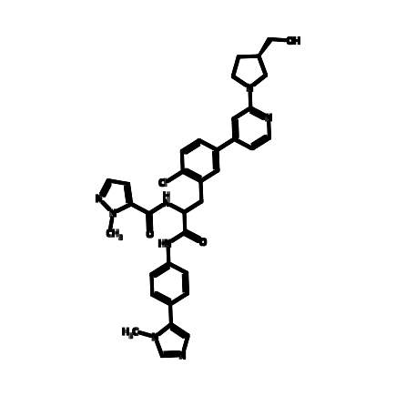 Cn1cncc1-c1ccc(NC(=O)C(Cc2cc(-c3ccnc(N4CC[C@@H](CO)C4)c3)ccc2Cl)NC(=O)c2ccnn2C)cc1